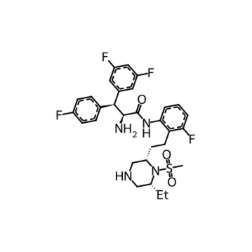 CC[C@@H]1CNC[C@H](CCc2c(F)cccc2NC(=O)[C@@H](N)[C@@H](c2ccc(F)cc2)c2cc(F)cc(F)c2)N1S(C)(=O)=O